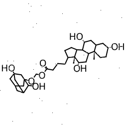 C[C@]12CC[C@@H](O)CC1C[C@@H](O)C1C2C[C@H](O)[C@]2(C)C(CCCC(=O)OCOC34CC5CC(CC(O)(C5)C3)C4O)CCC12